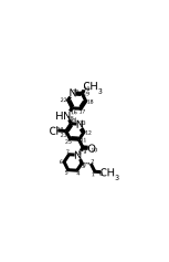 CCC[C@@H]1CCCCN1C(=O)c1cnc(Nc2ccc(C)nc2)c(Cl)c1